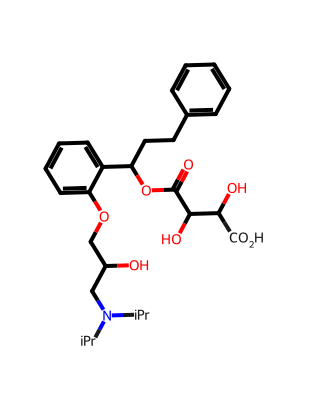 CC(C)N(CC(O)COc1ccccc1C(CCc1ccccc1)OC(=O)C(O)C(O)C(=O)O)C(C)C